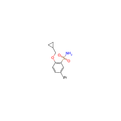 CC(C)c1ccc(OCC2CC2)c(S(N)(=O)=O)c1